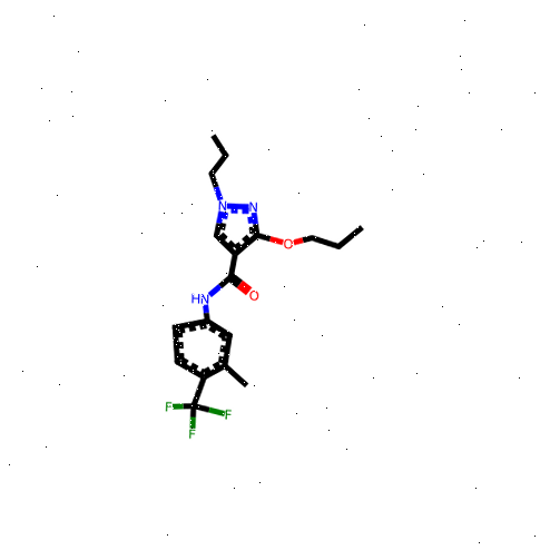 CCCOc1nn(CCC)cc1C(=O)Nc1ccc(C(F)(F)F)c(C)c1